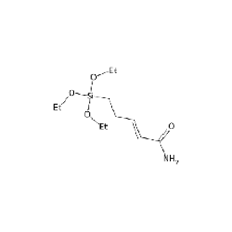 CCO[Si](CCC=CC(N)=O)(OCC)OCC